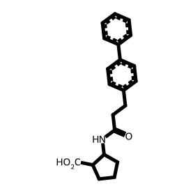 O=C(CCc1ccc(-c2ccccc2)cc1)NC1CCCC1C(=O)O